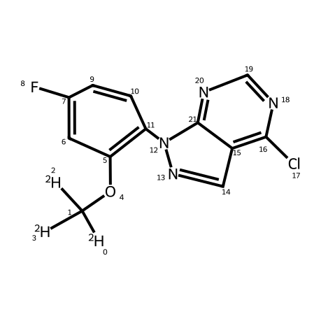 [2H]C([2H])([2H])Oc1cc(F)ccc1-n1ncc2c(Cl)ncnc21